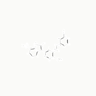 COc1nnc(-c2c(C)[nH]c3c(C(=O)O)cccc23)nc1NCc1cccc(F)c1